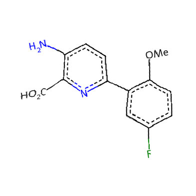 COc1ccc(F)cc1-c1ccc(N)c(C(=O)O)n1